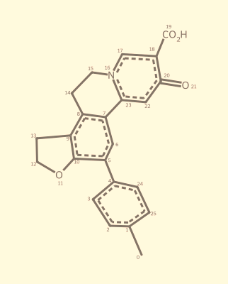 Cc1ccc(-c2cc3c(c4c2OCC4)CCn2cc(C(=O)O)c(=O)cc2-3)cc1